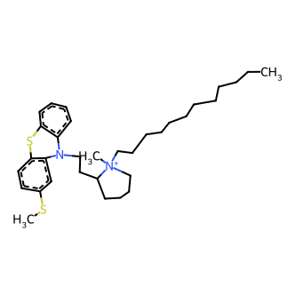 CCCCCCCCCCCC[N+]1(C)CCCCC1CCN1c2ccccc2Sc2ccc(SC)cc21